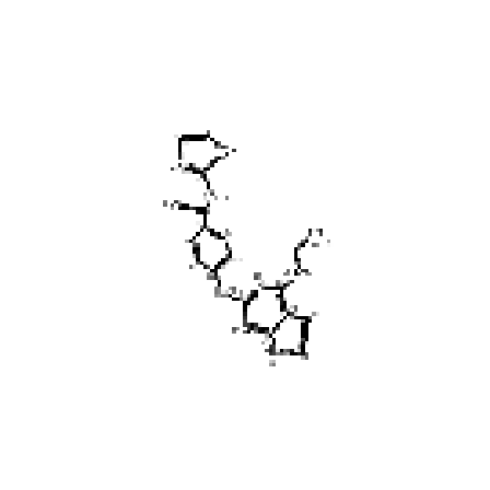 O=C(Nc1nccs1)c1ccc(Nc2nc(NCC(F)(F)F)c3cc[nH]c3n2)cc1